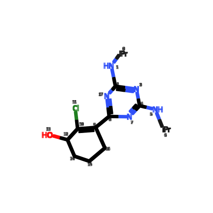 CC(C)Nc1nc(NC(C)C)nc(C2=C(Cl)C(O)CCC2)n1